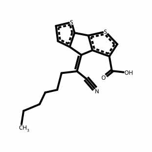 CCCCCCC(C#N)=C1c2ccsc2-c2scc(C(=O)O)c21